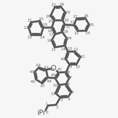 CC(C)CCc1ccc2cc(-c3cccc(-c4ccc5c(-c6ccccc6)c6ccccc6c(-c6ccccc6)c5c4)c3)c3oc4ccccc4c3c2c1